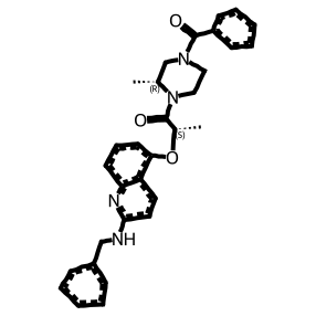 C[C@H](Oc1cccc2nc(NCc3ccccc3)ccc12)C(=O)N1CCN(C(=O)c2ccccc2)C[C@H]1C